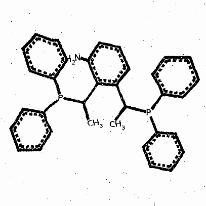 CC(c1cccc(N)c1C(C)P(c1ccccc1)c1ccccc1)P(c1ccccc1)c1ccccc1